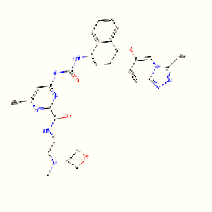 CN(CCNC(=O)c1nc(NC(=O)N[C@H]2CC[C@@H](Oc3ccc4nnc(C(C)(C)C)n4c3)c3ccccc32)cc(C(C)(C)C)n1)C1COC1